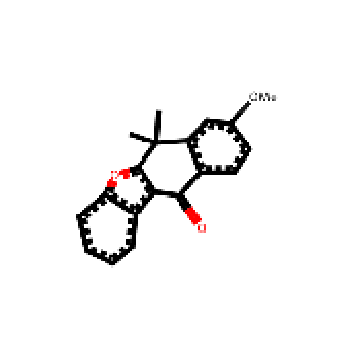 COc1ccc2c(c1)C(C)(C)c1oc3ccccc3c1C2=O